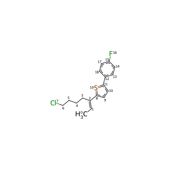 CC=C(CCCCCl)c1ccc(-c2ccc(F)cc2)s1